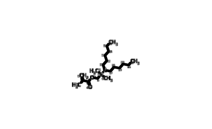 C=C(C)C(=O)OC[Si](C)(C)N(CCCCCC)CCCCCC